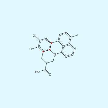 CCC1CCC(C(=O)O)CN1c1ncnc2c(F)ccc(-c3ccc(Cl)c(Cl)c3)c12